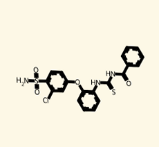 NS(=O)(=O)c1ccc(Oc2ccccc2NC(=S)NC(=O)c2ccccc2)cc1Cl